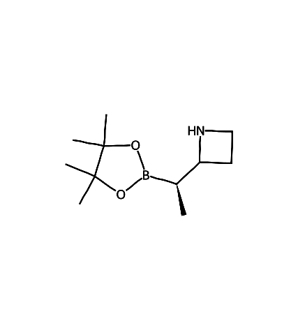 C[C@@H](B1OC(C)(C)C(C)(C)O1)C1CCN1